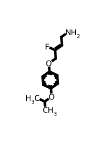 CC(C)Oc1ccc(OC/C(F)=C/CN)cc1